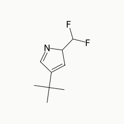 CC(C)(C)C1=CC(C(F)F)N=C1